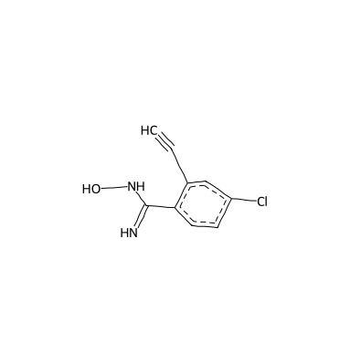 C#Cc1cc(Cl)ccc1C(=N)NO